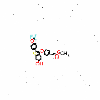 COC(=O)/C=C/c1ccc(Oc2c(-c3ccc(OC(F)(F)F)cc3)sc3cc(O)ccc23)cc1